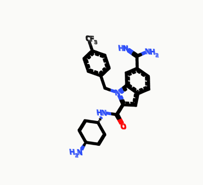 N=C(N)c1ccc2cc(C(=O)N[C@H]3CC[C@H](N)CC3)n(Cc3ccc(C(F)(F)F)cc3)c2c1